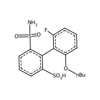 CCCCOc1cccc(F)c1-c1c(S(N)(=O)=O)cccc1S(=O)(=O)O